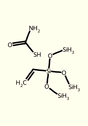 C=C[Si](O[SiH3])(O[SiH3])O[SiH3].NC(=O)S